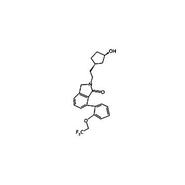 O=C1c2c(cccc2-c2ccccc2OCC(F)(F)F)CN1CC[C@H]1CC[C@@H](O)C1